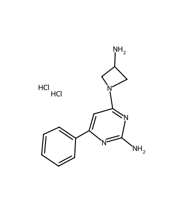 Cl.Cl.Nc1nc(-c2ccccc2)cc(N2CC(N)C2)n1